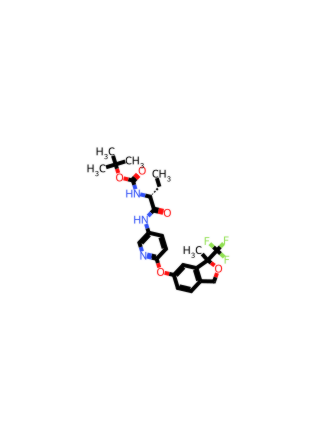 CC[C@@H](NC(=O)OC(C)(C)C)C(=O)Nc1ccc(Oc2ccc3c(c2)C(C)(C(F)(F)F)OC3)nc1